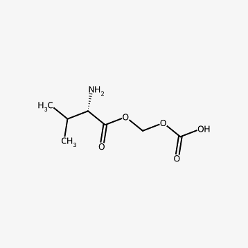 CC(C)[C@H](N)C(=O)OCOC(=O)O